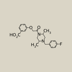 CC1CN(C(=O)COc2cccc(C(=O)O)c2)C(C)CN1Cc1ccc(F)cc1